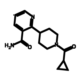 NC(=O)c1c[c]cnc1C1CCN(C(=O)C2CC2)CC1